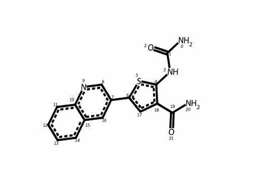 NC(=O)Nc1sc(-c2cnc3ccccc3c2)cc1C(N)=O